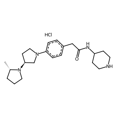 C[C@H]1CCCN1[C@H]1CCN(c2ccc(CC(=O)NC3CCNCC3)cc2)C1.Cl